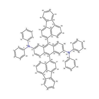 c1ccc(N(c2ccccc2)c2ccc3c(-c4ccc5c6c(cccc46)-c4ccccc4-5)c4cc(N(c5ccccc5)c5ccccc5)ccc4c(-c4ccc5c6c(cccc46)-c4ccccc4-5)c3c2)cc1